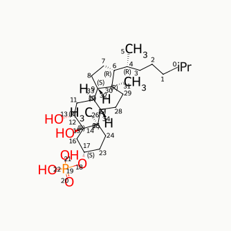 CC(C)CCC[C@@H](C)[C@H]1CC[C@H]2[C@@H]3C[C@@H](O)[C@@]4(O)C[C@@H](OP(=O)(O)O)CC[C@]4(C)[C@H]3CC[C@]12C